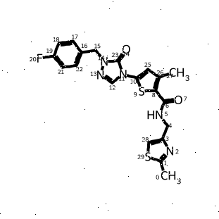 Cc1nc(CNC(=O)c2sc(-n3cnn(Cc4ccc(F)cc4)c3=O)cc2C)cs1